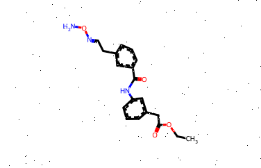 CCOC(=O)Cc1cccc(NC(=O)c2cccc(CC=NON)c2)c1